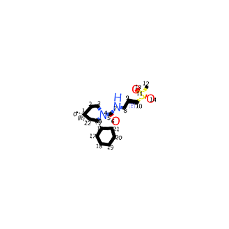 C[C@@H]1CCN(C(=O)NC/C=C/S(C)(=O)=O)[C@H](C2CCCCC2)C1